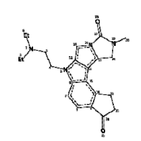 CCN(CC)CCn1c2ccc3c(c2c2c4n(cc21)C(=O)N(C)C4)CCC3=O